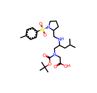 Cc1ccc(S(=O)(=O)N2CCCC2CNC(CC(C)C)CN(CC(=O)O)C(=O)OC(C)(C)C)cc1